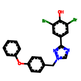 Oc1c(Br)cc(-c2ncn(Cc3ccc(Oc4ccccc4)cc3)n2)cc1Br